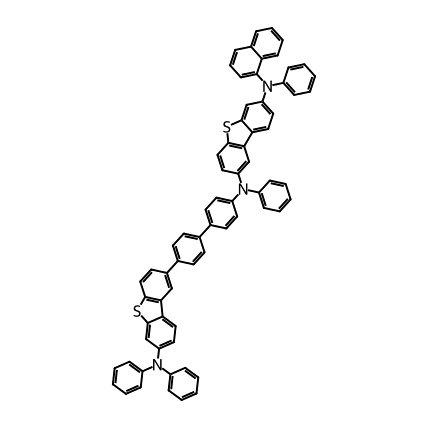 c1ccc(N(c2ccccc2)c2ccc3c(c2)sc2ccc(-c4ccc(-c5ccc(N(c6ccccc6)c6ccc7sc8cc(N(c9ccccc9)c9cccc%10ccccc9%10)ccc8c7c6)cc5)cc4)cc23)cc1